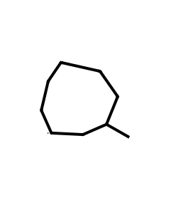 CC1C[CH]CCCCC1